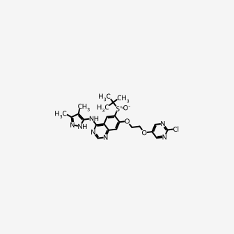 Cc1n[nH]c(Nc2ncnc3cc(OCCOc4cnc(Cl)nc4)c([S+]([O-])C(C)(C)C)cc23)c1C